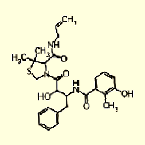 C=CCNC(=O)C1N(C(=O)C(O)C(Cc2ccccc2)NC(=O)c2cccc(O)c2C)CSC1(C)C